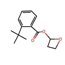 CC(C)(C)c1ccccc1C(=O)OC1CCO1